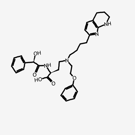 O=C(O)[C@H](CCN(CCCCc1ccc2c(n1)NCCC2)CCOc1ccccc1)NC(=O)[C@H](O)c1ccccc1